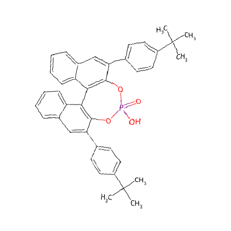 CC(C)(C)c1ccc(-c2cc3ccccc3c3c2OP(=O)(O)Oc2c(-c4ccc(C(C)(C)C)cc4)cc4ccccc4c2-3)cc1